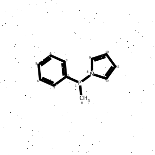 CP(c1ccccc1)n1cccc1